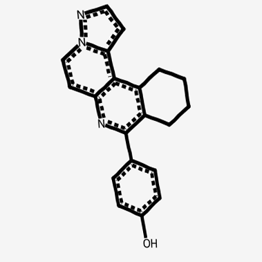 Oc1ccc(-c2nc3ccn4nccc4c3c3c2CCCC3)cc1